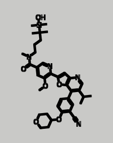 COc1cc(C(=O)N(C)CCCC(C)(C)[Si](C)(C)O)cnc1-c1cc2ncc(C(C)C)c(-c3ccc(OC4CCOCC4)c(C#N)c3)c2o1